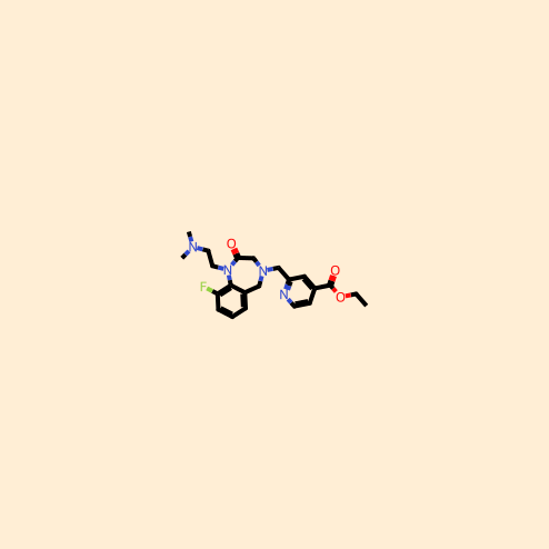 CCOC(=O)c1ccnc(CN2CC(=O)N(CCN(C)C)c3c(F)cccc3C2)c1